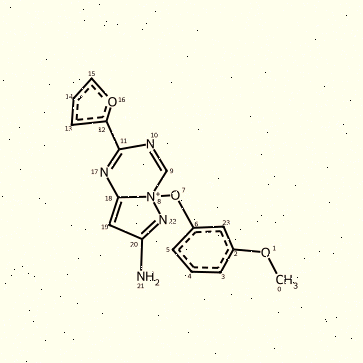 COc1cccc(O[N+]23C=NC(c4ccco4)=NC2=CC(N)=N3)c1